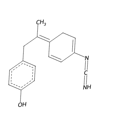 CC(Cc1ccc(O)cc1)=C1C=CC(N=C=N)=CC1